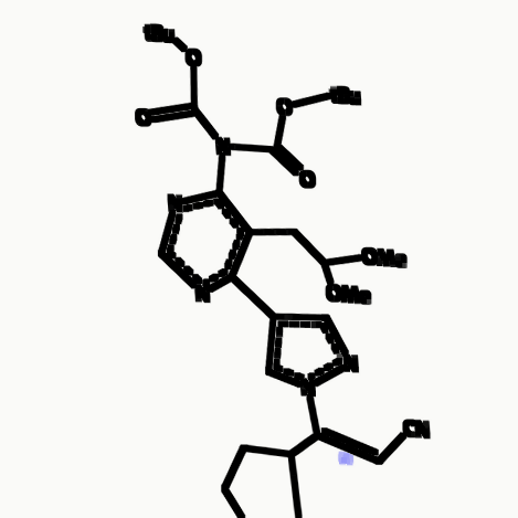 COC(Cc1c(-c2cnn(/C(=C\C#N)C3CCCC3)c2)ncnc1N(C(=O)OC(C)(C)C)C(=O)OC(C)(C)C)OC